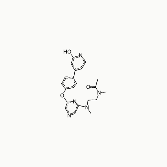 CC(=O)N(C)CCN(C)c1cncc(Oc2ccc(-c3ccnc(O)c3)cc2)n1